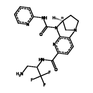 NCC(NC(=O)c1ccc2c(n1)N(C(=O)Nc1ccccn1)[C@H]1CCN2C1)C(F)(F)F